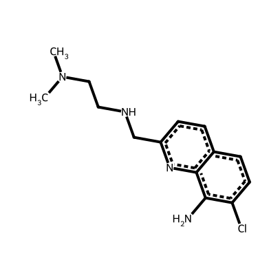 CN(C)CCNCc1ccc2ccc(Cl)c(N)c2n1